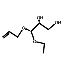 C=CCO[C@H](OCC)[C@@H](O)CO